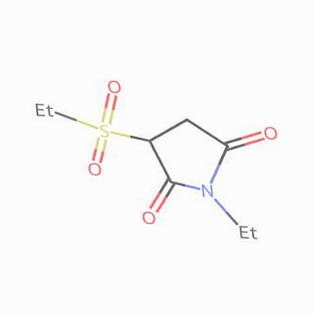 CCN1C(=O)CC(S(=O)(=O)CC)C1=O